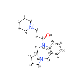 O=C(CCN1CCCCC1)N1CC2CCCN2Cc2ccccc21